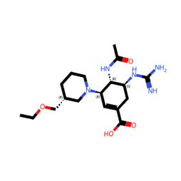 CCOC[C@@H]1CCCN([C@@H]2C=C(C(=O)O)C[C@H](NC(=N)N)[C@H]2NC(C)=O)C1